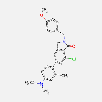 Cc1cc(N(C)C)ccc1-c1cc(Cl)c2c(c1)CN(Cc1ccc(OC(F)(F)F)cc1)C2=O